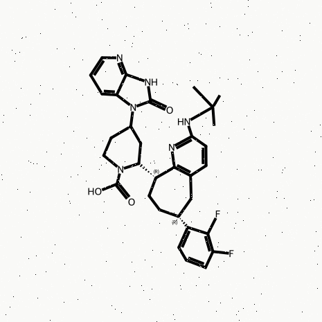 CC(C)(C)Nc1ccc2c(n1)[C@@H](C1CC(n3c(=O)[nH]c4ncccc43)CCN1C(=O)O)CC[C@@H](c1cccc(F)c1F)C2